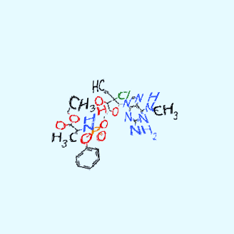 C#C[C@@]1(Cl)[C@H](O)[C@@H](CO[P@@](=O)(N[C@@H](C)C(=O)OCC)Oc2ccccc2)O[C@H]1n1cnc2c(NC)nc(N)nc21